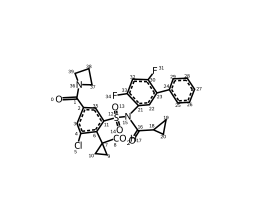 O=C(c1cc(Cl)c(C2(C(=O)O)CC2)c(S(=O)(=O)N(C(=O)C2CC2)c2cc(-c3ccccc3)c(F)cc2F)c1)N1CCC1